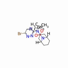 CN(c1ncc(Br)nn1)C1C[C@H]2CCC[C@@H](C1)N2C(=O)OC(C)(C)C